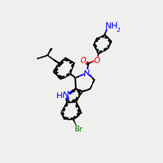 CC(C)c1ccc(C2c3[nH]c4ccc(Br)cc4c3CCN2C(=O)Oc2ccc(N)cc2)cc1